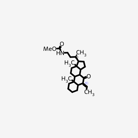 C/C=C1/C(=O)C2C(CCC3(C)C2CCC3[C@H](C)CCNC(=O)OC)C2(C)CCCCC12